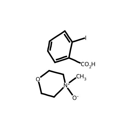 C[N+]1([O-])CCOCC1.O=C(O)c1ccccc1I